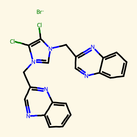 Clc1c(Cl)[n+](Cc2cnc3ccccc3n2)cn1Cc1cnc2ccccc2n1.[Br-]